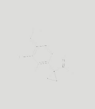 CCc1ccc(C2(C(=O)O)CC2)c(F)c1Br